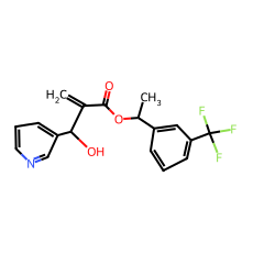 C=C(C(=O)OC(C)c1cccc(C(F)(F)F)c1)C(O)c1cccnc1